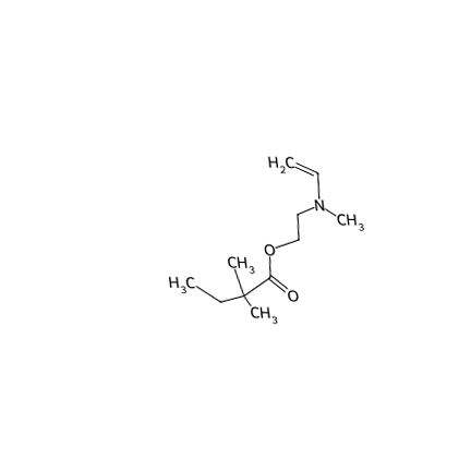 C=CN(C)CCOC(=O)C(C)(C)CC